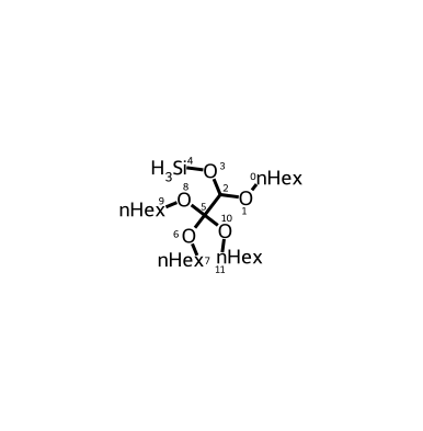 CCCCCCOC(O[SiH3])C(OCCCCCC)(OCCCCCC)OCCCCCC